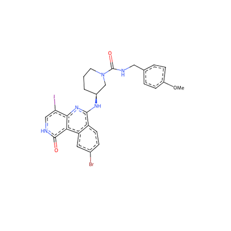 COc1ccc(CNC(=O)N2CCC[C@H](Nc3nc4c(I)c[nH]c(=O)c4c4cc(Br)ccc34)C2)cc1